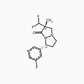 C[C@@]1(C(F)F)CN2CC[C@H](c3cncc(F)c3)N2C1=O